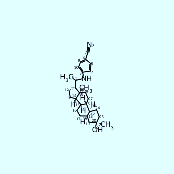 C[C@@H](Nc1ccc(C#N)cc1)[C@H]1CC[C@H]2[C@@H]3CC[C@@H]4C[C@](C)(O)CC[C@@H]4[C@H]3CC[C@]12C